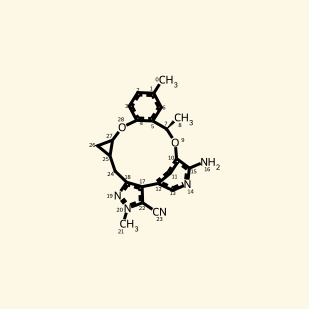 Cc1ccc2c(c1)[C@@H](C)Oc1cc(cnc1N)-c1c(nn(C)c1C#N)CC1CC1O2